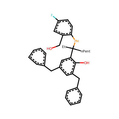 CCCCCC(CC)(Pc1ccc(F)cc1CO)c1cc(Cc2ccccc2)cc(Cc2ccccc2)c1O